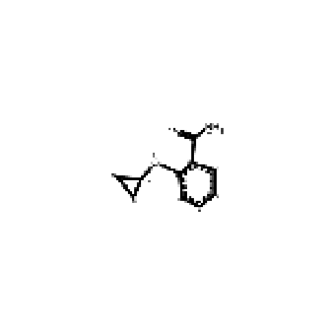 NC(=S)c1ccccc1OC1CC1